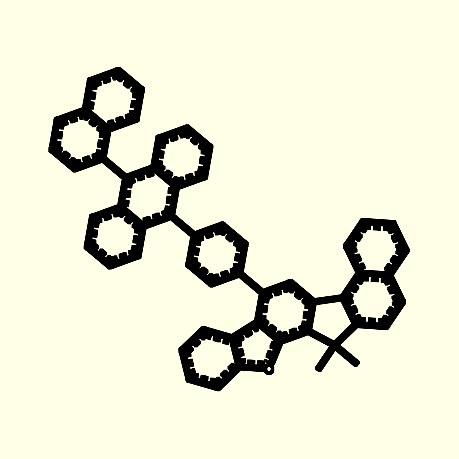 CC1(C)c2ccc3ccccc3c2-c2cc(-c3ccc(-c4c5ccccc5c(-c5cccc6ccccc56)c5ccccc45)cc3)c3c(oc4ccccc43)c21